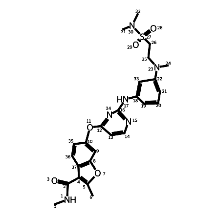 CNC(=O)c1c(C)oc2cc(Oc3ccnc(Nc4cccc(N(C)CCS(=O)(=O)N(C)C)c4)n3)ccc12